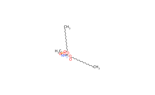 CCCCCCCCCCCCCCCC(=O)OC[C@H](COP(N)(=O)CC)OC(=O)CCCCCCCCCCCCCCC